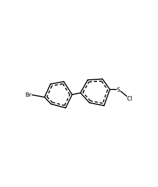 ClSc1ccc(-c2ccc(Br)cc2)cc1